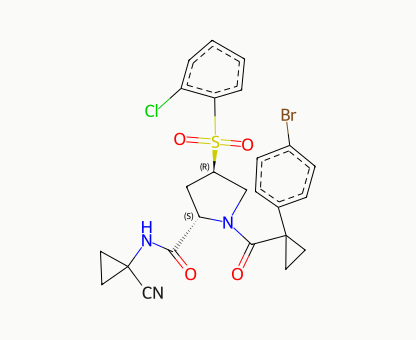 N#CC1(NC(=O)[C@@H]2C[C@@H](S(=O)(=O)c3ccccc3Cl)CN2C(=O)C2(c3ccc(Br)cc3)CC2)CC1